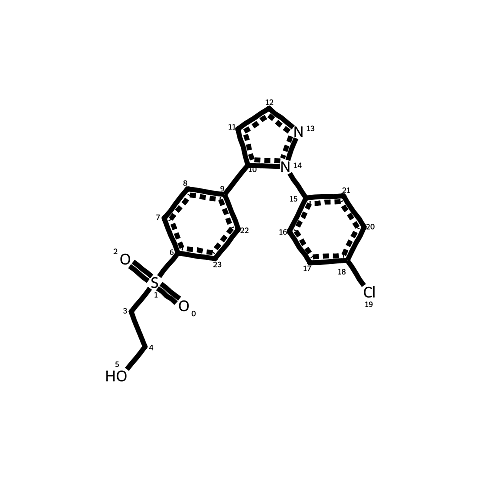 O=S(=O)(CCO)c1ccc(-c2ccnn2-c2ccc(Cl)cc2)cc1